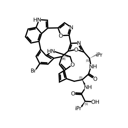 CC(C)[C@H](O)C(=O)N[C@H]1Cc2ccc3c(c2)[C@]24c5cc(Br)cc(c5NC2O3)-c2cccc3[nH]cc(c23)-c2cnc(o2)-c2nc(oc24)[C@H](C(C)C)NC1=O